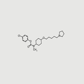 CN(C(=O)Oc1ccc(Cl)cc1)C1CCC(OCCCCCN2CCCC2)CC1